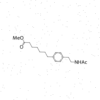 COC(=O)CCCCCCc1ccc(CCNC(C)=O)cc1